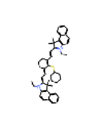 CCN1/C(=C/C=C2\CCCC(/C=C/C3=[N+](CC)c4ccc5ccccc5c4C3(C)C)=C2SC2CCCCC2)C(C)(C)c2c1ccc1ccccc21